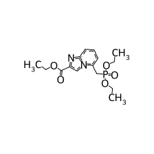 CCOC(=O)c1cn2c(CP(=O)(OCC)OCC)cccc2n1